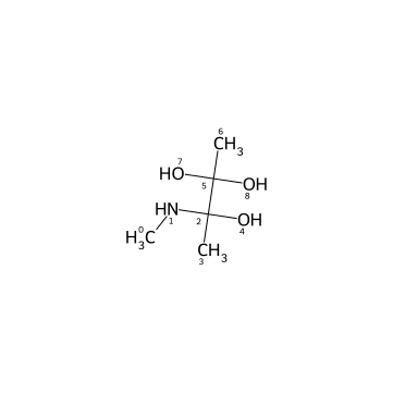 CNC(C)(O)C(C)(O)O